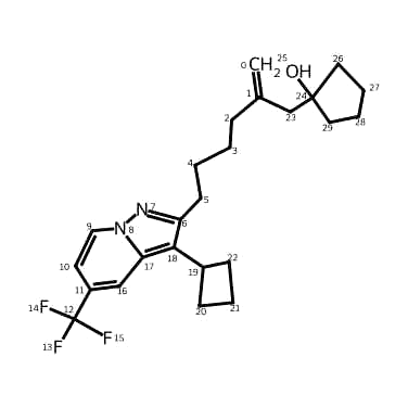 C=C(CCCCc1nn2ccc(C(F)(F)F)cc2c1C1CCC1)CC1(O)CCCC1